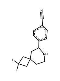 N#Cc1ccc(C2CC3(CCN2)CC(F)(F)C3)cc1